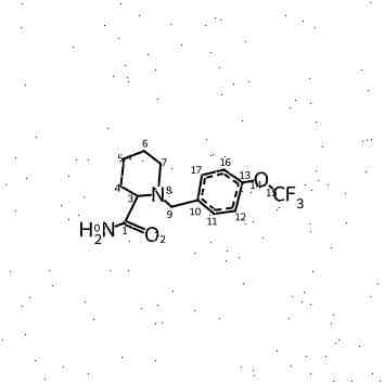 NC(=O)C1C[CH]CCN1Cc1ccc(OC(F)(F)F)cc1